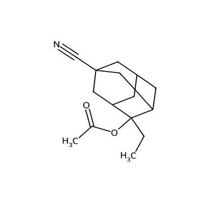 CCC1(OC(C)=O)C2CC3CC1CC(C#N)(C3)C2